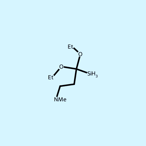 CCOC([SiH3])(CCNC)OCC